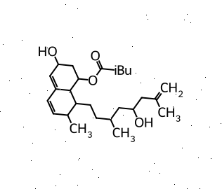 C=C(C)CC(O)CC(C)CCC1C(C)C=CC2=CC(O)CC(OC(=O)C(C)CC)C21